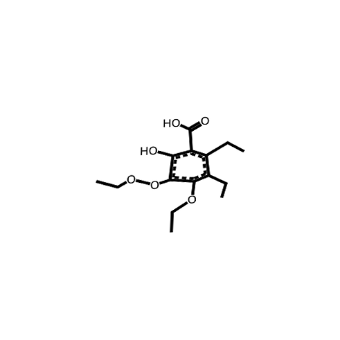 CCOOc1c(O)c(C(=O)O)c(CC)c(CC)c1OCC